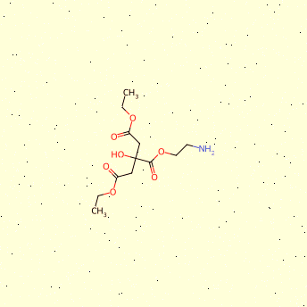 CCOC(=O)CC(O)(CC(=O)OCC)C(=O)OCCN